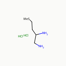 CSCCC(N)CN.Cl.Cl